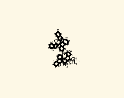 CC1(C)c2ccccc2-c2ccc(N(c3ccc4c(c3)-c3ccccc3C43c4ccc5ccccc5c4Oc4c3ccc3ccccc43)c3cccc4c3-c3ccccc3C4(C)C)cc21